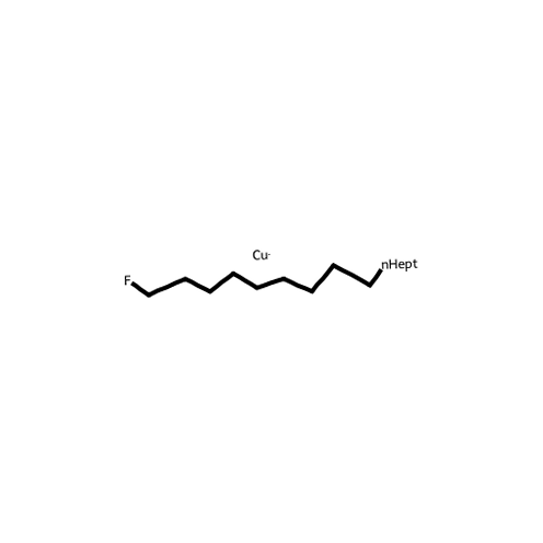 CCCCCCCCCCCCCCCCF.[Cu]